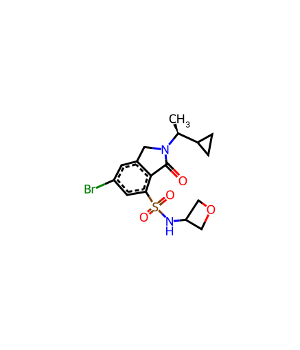 C[C@@H](C1CC1)N1Cc2cc(Br)cc(S(=O)(=O)NC3COC3)c2C1=O